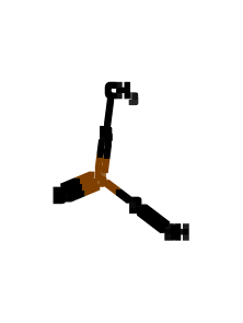 B#S(B=B)=BC